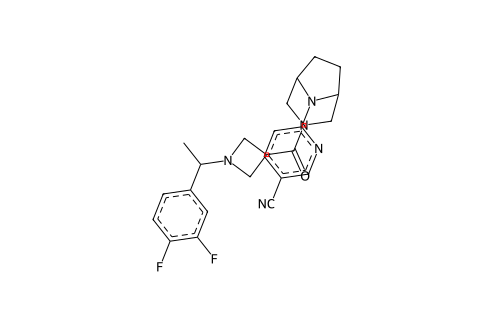 CC(c1ccc(F)c(F)c1)N1CC(C(=O)N2CC3CCC(C2)N3c2ccc(C#N)cn2)C1